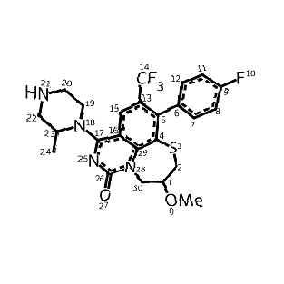 COC1CSc2c(-c3ccc(F)cc3)c(C(F)(F)F)cc3c(N4CCNCC4C)nc(=O)n(c23)C1